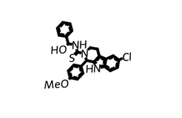 COc1ccc(C2c3[nH]c4ccc(Cl)cc4c3CCN2C(=S)NC(O)c2ccccc2)cc1